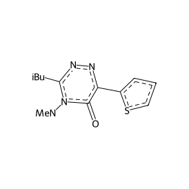 CCC(C)c1nnc(-c2cccs2)c(=O)n1NC